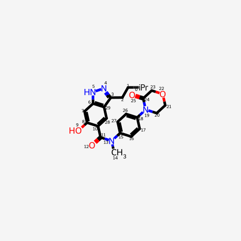 CC(C)CCc1n[nH]c2cc(O)c(C(=O)N(C)c3ccc(N4CCOCC4=O)cc3)cc12